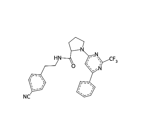 N#Cc1ccc(CCNC(=O)C2CCCN2c2cc(-c3ccccc3)nc(C(F)(F)F)n2)cc1